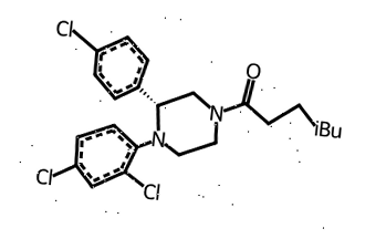 CCC(C)CCC(=O)N1CCN(c2ccc(Cl)cc2Cl)[C@H](c2ccc(Cl)cc2)C1